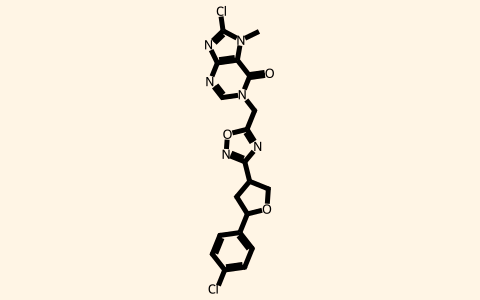 Cn1c(Cl)nc2ncn(Cc3nc(C4COC(c5ccc(Cl)cc5)C4)no3)c(=O)c21